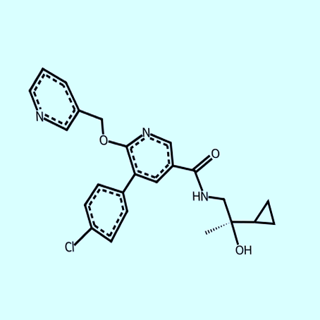 C[C@](O)(CNC(=O)c1cnc(OCc2cccnc2)c(-c2ccc(Cl)cc2)c1)C1CC1